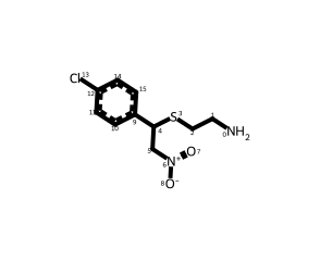 NCCSC(C[N+](=O)[O-])c1ccc(Cl)cc1